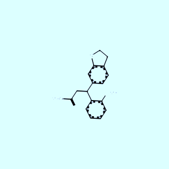 CNC(=O)CC(c1ccc2c(c1)NCC2)c1ccccc1OC